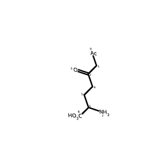 CC(=O)CC(=O)CCC(N)C(=O)O